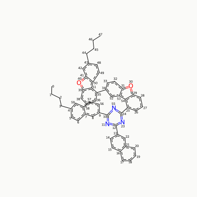 CCCCc1ccc2cc(-c3nc(-c4ccc5ccccc5c4)nc(-c4cccc5oc6ccc(-c7cccc8oc9cc(CCCC)ccc9c78)cc6c45)n3)ccc2c1